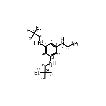 CCC(C)(C)CNc1cc(NCC(C)C)cc(NCC(C)(C)CC)c1